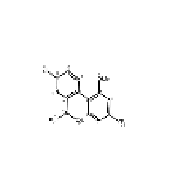 COc1cc(C(F)(F)F)ccc1-c1nnc(Cl)nc1N(C)C